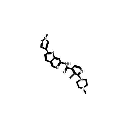 Cc1c(C(=O)Nc2cc3nc(-c4cnn(C)c4)ccc3cn2)ccnc1N1CCN(C)CC1